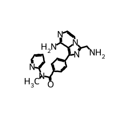 CN(C(=O)c1ccc(-c2nc(CN)n3ccnc(N)c23)cc1)c1ccccn1